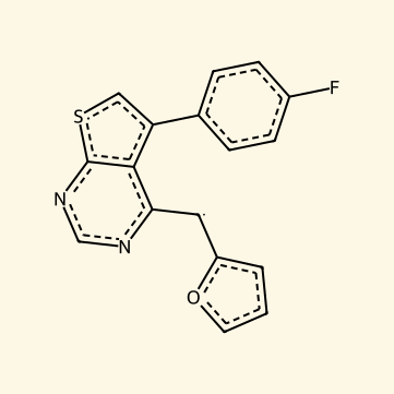 Fc1ccc(-c2csc3ncnc([CH]c4ccco4)c23)cc1